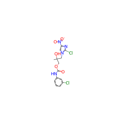 CC(O)(COC(=O)Nc1cccc(Cl)c1)Cn1cc([N+](=O)[O-])nc1Cl